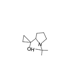 CC(C)(C)N1CCCC1C1(O)CC1